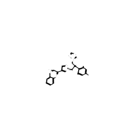 C[C@@H](n1cc(-c2cnc3ccccc3n2)cn1)[C@](O)(Cn1cncn1)c1ccc(F)cc1F